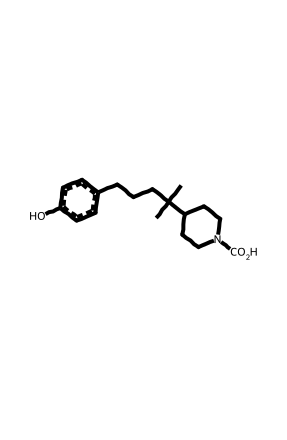 CC(C)(CCCc1ccc(O)cc1)C1CCN(C(=O)O)CC1